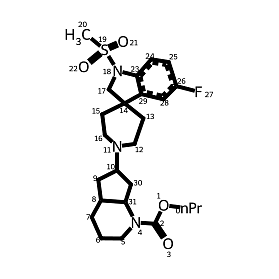 CCCOC(=O)N1CCCC2CC(N3CCC4(CC3)CN(S(C)(=O)=O)c3ccc(F)cc34)CC21